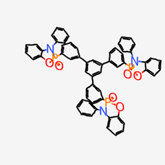 O=P1(c2cccc(-c3cc(-c4cccc(P5(=O)Oc6ccccc6N5c5ccccc5)c4)cc(-c4cccc(P5(=O)Oc6ccccc6N5c5ccccc5)c4)c3)c2)Oc2ccccc2N1c1ccccc1